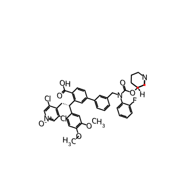 COc1ccc([C@H](Cc2c(Cl)c[n+]([O-])cc2Cl)c2cc(-c3cccc(CN(C(=O)O[C@H]4CN5CCC4CC5)c4ccccc4F)c3)ccc2C(=O)O)cc1OC